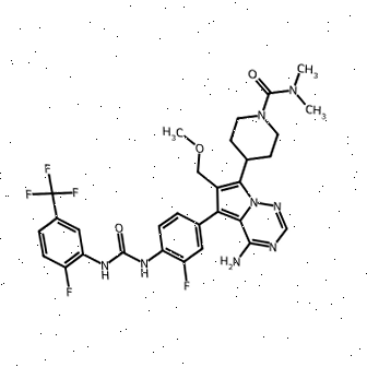 COCc1c(-c2ccc(NC(=O)Nc3cc(C(F)(F)F)ccc3F)c(F)c2)c2c(N)ncnn2c1C1CCN(C(=O)N(C)C)CC1